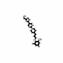 CC(C)Cc1nc(-c2cnc(N3CCC(CCCOc4c(F)cc(F)cc4C#N)CC3)nc2)no1